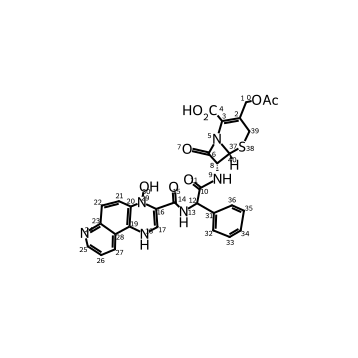 CC(=O)OCC1=C(C(=O)O)N2C(=O)[C@@H](NC(=O)C(NC(=O)C3=CNc4c(ccc5ncccc45)N3O)c3ccccc3)[C@H]2SC1